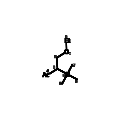 [CH2]COCC(C(C)=O)[Si](C)(C)C